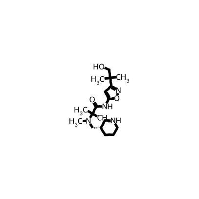 CN(C[C@H]1CCCNC1)C(C)(C)C(=O)Nc1cc(C(C)(C)CO)no1